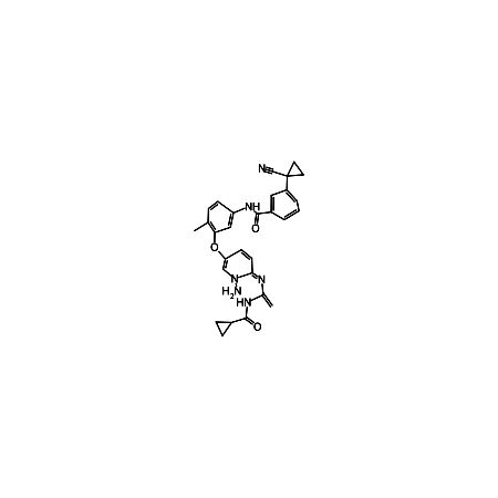 C=C(/N=c1/ccc(Oc2cc(NC(=O)c3cccc(C4(C#N)CC4)c3)ccc2C)cn1N)NC(=O)C1CC1